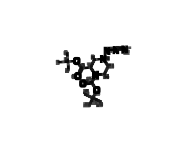 CC(C)(C)OC(=O)C1CN(N=[N+]=[N-])CCN1C(=O)OC(C)(C)C